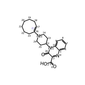 O=C(O)c1nc2ccccc2n(C2CCN(/C3=C/CCCCCC3)CC2)c1=O